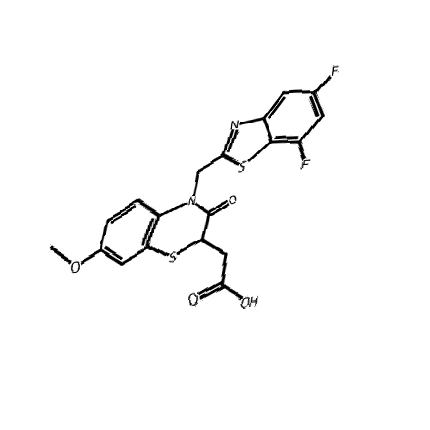 COc1ccc2c(c1)SC(CC(=O)O)C(=O)N2Cc1nc2cc(F)cc(F)c2s1